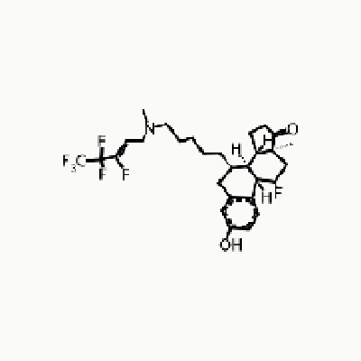 CN(C/C=C(\F)C(F)(F)C(F)(F)F)CCCCC[C@@H]1Cc2cc(O)ccc2[C@@H]2[C@@H]1[C@@H]1CCC(=O)[C@@]1(C)C[C@@H]2F